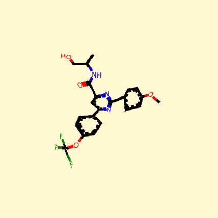 COc1ccc(-c2nc(C(=O)NC(C)CO)cc(-c3ccc(OC(F)(F)F)cc3)n2)cc1